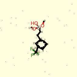 CO[Si](O)(CCc1cccc(C(F)(F)F)c1)OC